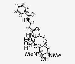 CNC1CC2OCCC(NC(=O)CCNC(=O)c3ccccc3)C(O)(CO)OC2C(NC)C1O